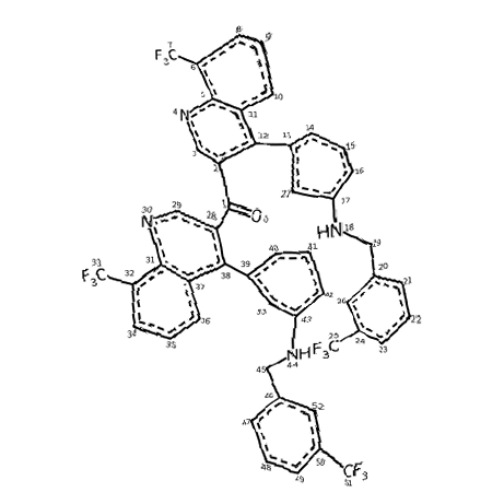 O=C(c1cnc2c(C(F)(F)F)cccc2c1-c1cccc(NCc2cccc(C(F)(F)F)c2)c1)c1cnc2c(C(F)(F)F)cccc2c1-c1cccc(NCc2cccc(C(F)(F)F)c2)c1